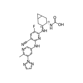 Cc1ncc(Nc2nc(N[C@H]3CC4CC4C[C@@H]3NC(=O)O)c(F)cc2C#N)cc1-n1nccn1